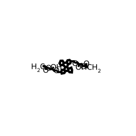 C=CC(=O)OCC(O)COCc1ccc2c3ccccc3c3c4cc(COCC(O)COC(=O)C=C)ccc4c4ccccc4c3c2c1